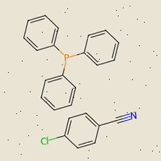 N#Cc1ccc(Cl)cc1.c1ccc(P(c2ccccc2)c2ccccc2)cc1